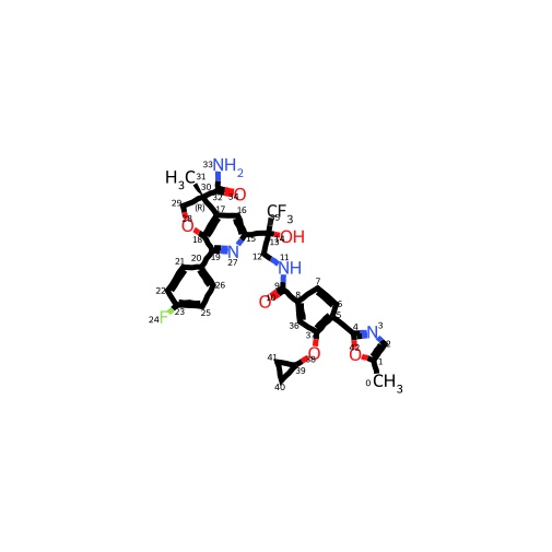 Cc1cnc(-c2ccc(C(=O)NCC(O)(c3cc4c(c(-c5ccc(F)cc5)n3)OC[C@]4(C)C(N)=O)C(F)(F)F)cc2OC2CC2)o1